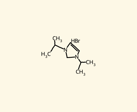 Br.CC(C)N1C=CN(C(C)C)C1